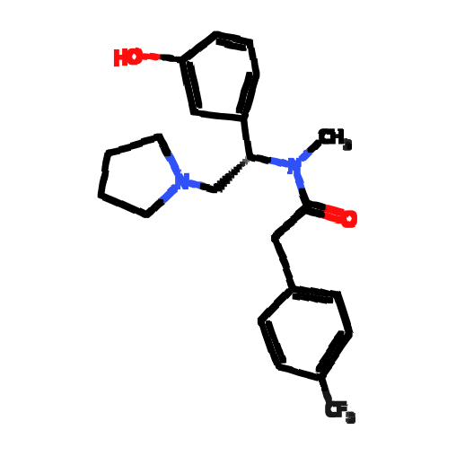 CN(C(=O)Cc1ccc(C(F)(F)F)cc1)[C@H](CN1CCCC1)c1cccc(O)c1